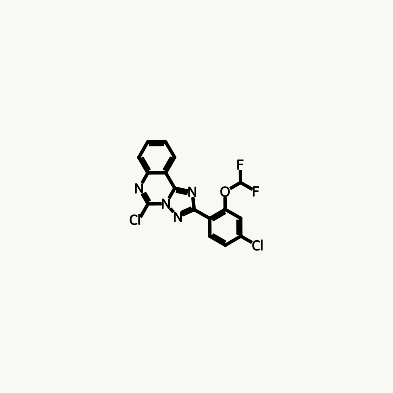 FC(F)Oc1cc(Cl)ccc1-c1nc2c3ccccc3nc(Cl)n2n1